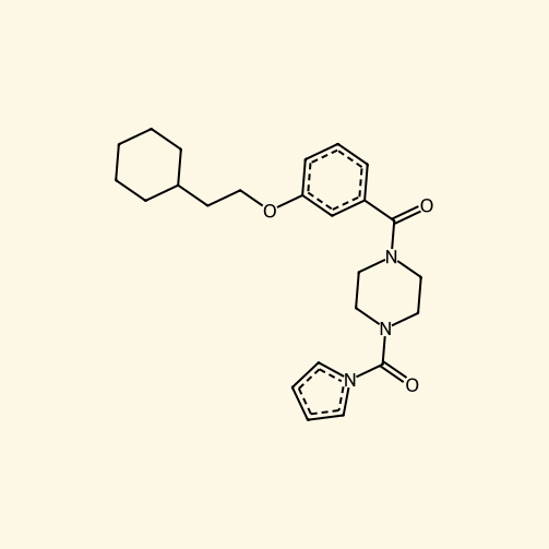 O=C(c1cccc(OCCC2CCCCC2)c1)N1CCN(C(=O)n2cccc2)CC1